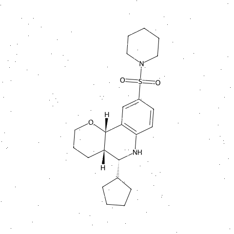 O=S(=O)(c1ccc2c(c1)[C@H]1OCCC[C@H]1[C@@H](C1CCCC1)N2)N1CCCCC1